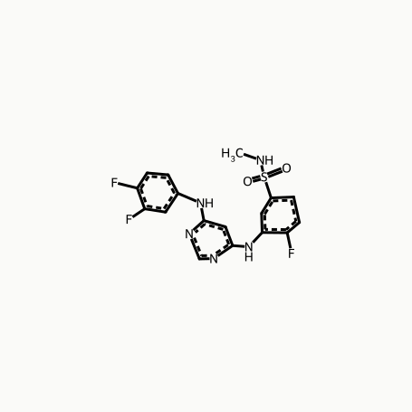 CNS(=O)(=O)c1ccc(F)c(Nc2cc(Nc3ccc(F)c(F)c3)ncn2)c1